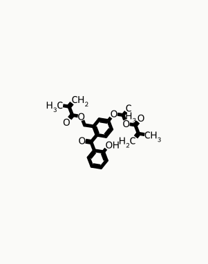 C=C(C)C(=O)OCc1cc(OC(C)OC(=O)C(=C)C)ccc1C(=O)c1ccccc1O